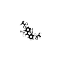 C=C(C)C(=O)Oc1cccc(C(CC)c2cccc(OC(=O)C(=C)C)c2O)c1O